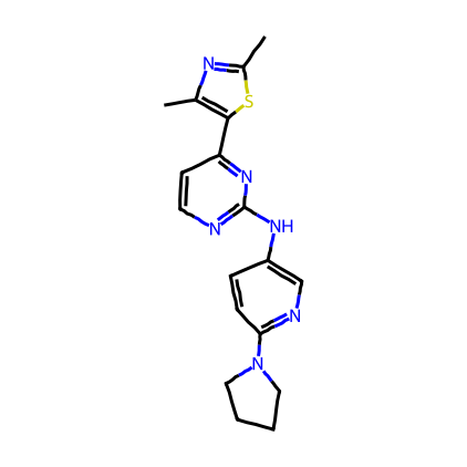 Cc1nc(C)c(-c2ccnc(Nc3ccc(N4CCCC4)nc3)n2)s1